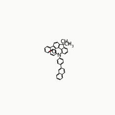 CC1(C)c2cccc(N(c3ccccc3)c3ccc(-c4ccc5ccccc5c4)cc3)c2-c2c1ccc1c2oc2ccccc21